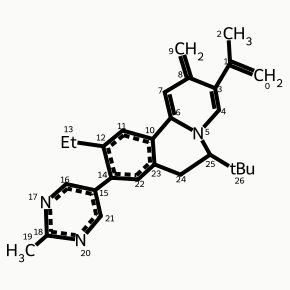 C=C(C)C1=CN2C(=CC1=C)c1cc(CC)c(-c3cnc(C)nc3)cc1CC2C(C)(C)C